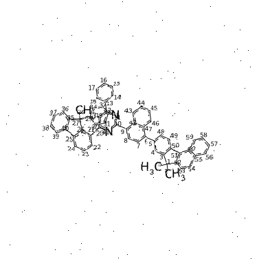 CC1(C)c2cc(-c3ccc(-c4nc(-c5ccccc5)cc(-c5cccc6c5C(C)(c5ccccc5)c5ccccc5-6)n4)c4ccccc34)ccc2-c2c1ccc1ccccc21